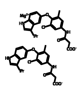 Cc1cc(NC(=O)CC(=O)[O-])cc(Cl)c1Oc1ccc2[nH]cc(C(C)C)c2c1.Cc1cc(NC(=O)CC(=O)[O-])cc(Cl)c1Oc1ccc2[nH]cc(C(C)C)c2c1.[Mg+2]